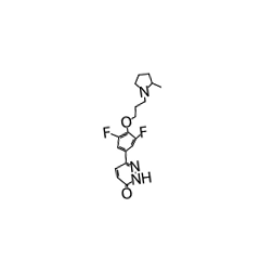 CC1CCCN1CCCOc1c(F)cc(-c2ccc(=O)[nH]n2)cc1F